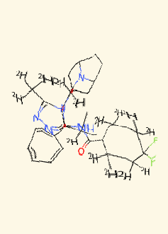 [2H]C([2H])([2H])c1nnc(C([2H])(C)C)n1C1CC2CCC(C1)N2C([2H])([2H])CC(NC(=O)C1C([2H])([2H])C([2H])([2H])C(F)(F)C([2H])([2H])C1([2H])[2H])c1ccccc1